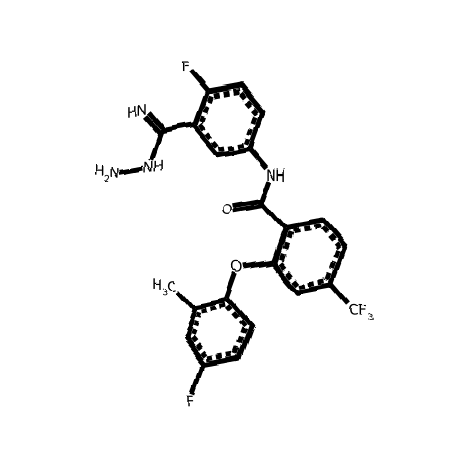 Cc1cc(F)ccc1Oc1cc(C(F)(F)F)ccc1C(=O)Nc1ccc(F)c(C(=N)NN)c1